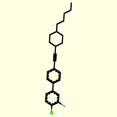 CCCCCC1CCC(C#Cc2ccc(-c3ccc(Cl)c(F)c3)cc2)CC1